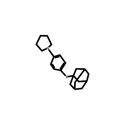 c1cc(N2CCCCC2)ccc1SC12CC3CC(CC(C3)C1)C2